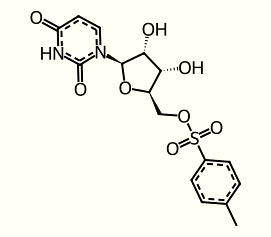 Cc1ccc(S(=O)(=O)OC[C@H]2O[C@@H](n3ccc(=O)[nH]c3=O)[C@H](O)[C@@H]2O)cc1